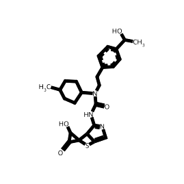 CC1CCC(N(CCc2ccc(C(C)O)cc2)C(=O)NC2=NC=C3SC4(C(=O)C4O)C32)CC1